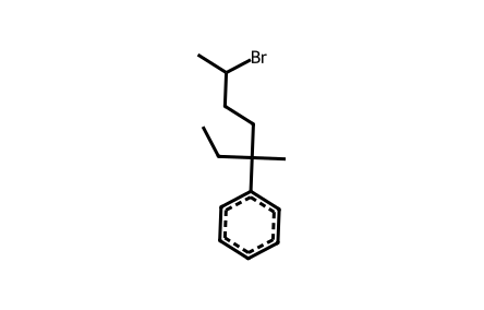 CCC(C)(CCC(C)Br)c1ccccc1